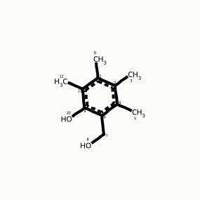 Cc1c(C)c(C)c(CO)c(O)c1C